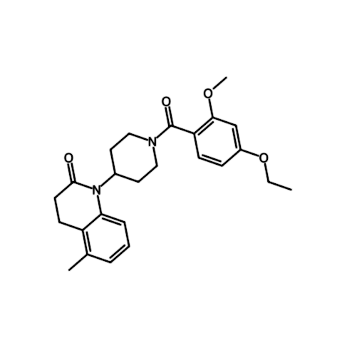 CCOc1ccc(C(=O)N2CCC(N3C(=O)CCc4c(C)cccc43)CC2)c(OC)c1